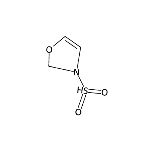 O=[SH](=O)N1C=COC1